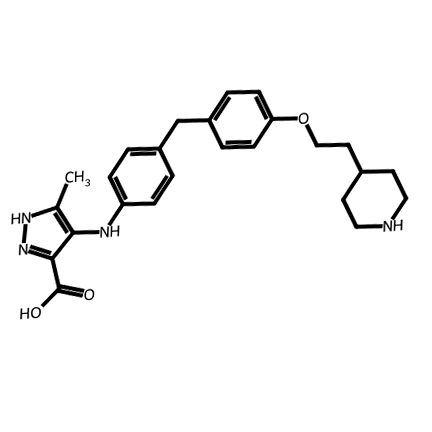 Cc1[nH]nc(C(=O)O)c1Nc1ccc(Cc2ccc(OCCC3CCNCC3)cc2)cc1